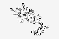 CCCCOC(O)(OCCCC)OCC(=O)[C@@]1(O)CC[C@H]2[C@@H]3C[C@H](F)C4=CC(=O)C=C[C@]4(C)[C@H]3C(O)C[C@@]21C